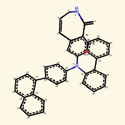 C=C1NCC=Cc2cc(N(c3ccc(-c4cccc5ccccc45)cc3)c3ccccc3-c3ccccc3)ccc21